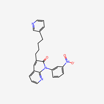 O=c1c(CCCCc2cccnc2)cc2cccnc2n1-c1cccc([N+](=O)[O-])c1